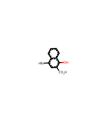 CCCCc1cc(C(=O)O)c(O)c2ccccc12